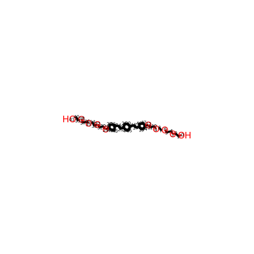 OCCOCCOCCOCCOc1ccc(/C=C/c2ccc(/C=C/c3ccc(OCCOCCOCCOCCO)cc3)cc2)cc1